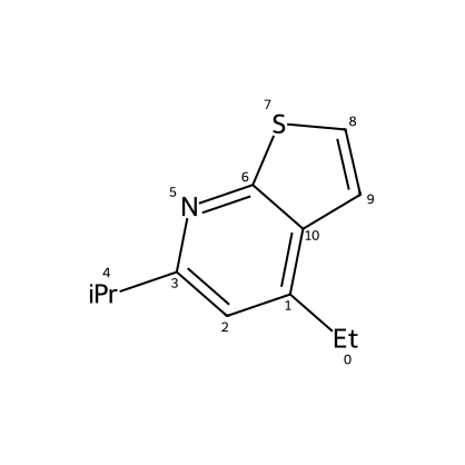 CCc1cc(C(C)C)nc2sccc12